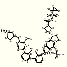 COc1nc(-c2cccc(-c3cccc(-c4nc5cc6c(c(OC(F)(F)F)c5o4)CC[C@H]6N4CC[C@@H](C(=O)NS(=O)(=O)C5(C)CC5)C4)c3Cl)c2C)cnc1CN1CC[C@@H](O)C1